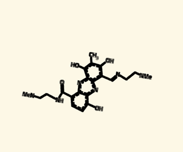 CNCCN=Cc1c(O)c(C)c(O)c2nc3c(C(=O)NCCNC)ccc(O)c3nc12